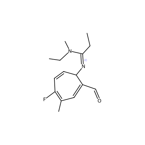 CC/C(=N/C1C=CC(F)=C(C)C=C1C=O)N(C)CC